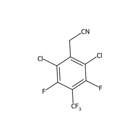 N#CCc1c(Cl)c(F)c(C(F)(F)F)c(F)c1Cl